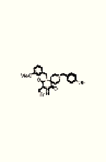 COc1cccc(CN2C(=O)C(CC(C)C)NC(=O)C23CCN(Cc2ccc(O)cc2)CC3)c1